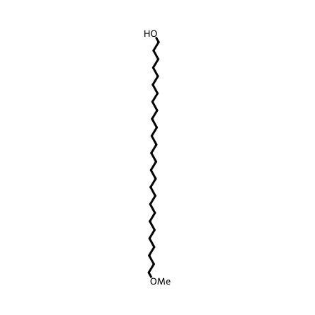 COCCCCCCCCCCCCCCCCCCCCCCCCCCCCO